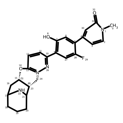 Cn1ccc(-c2cc(O)c(-c3ccc(O[C@H]4CC5CCCC(N5)[C@H]4F)nn3)cc2F)cc1=O